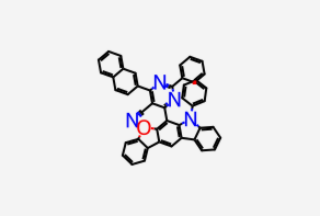 N#Cc1c(-c2ccc3ccccc3c2)nc(-c2ccccc2)nc1-c1c2oc3ccccc3c2cc2c3ccccc3n(-c3ccccc3)c12